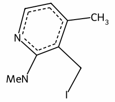 CNc1nccc(C)c1CI